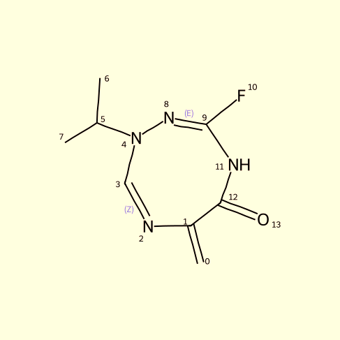 C=C1/N=C\N(C(C)C)/N=C(/F)NC1=O